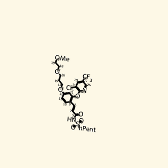 CCCCCS(=O)(=O)NC(=O)C=Cc1ccc(OCCCOCCOC)cc1Oc1ncc(C(F)(F)F)cc1Cl